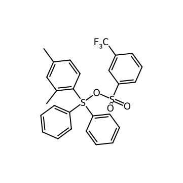 Cc1ccc(S(OS(=O)(=O)c2cccc(C(F)(F)F)c2)(c2ccccc2)c2ccccc2)c(C)c1